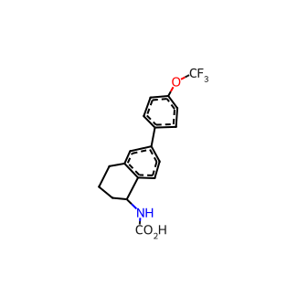 O=C(O)NC1CCCc2cc(-c3ccc(OC(F)(F)F)cc3)ccc21